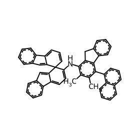 Cc1c(C)c(-c2cccc3ccccc23)c2c(c1NC1=CC=C3C(=Cc4ccccc43)C13C=CC=C1C3=Cc3ccccc31)Cc1ccccc1-2